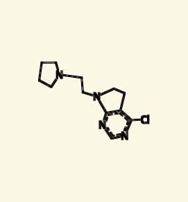 Clc1ncnc2c1CCN2CCN1CCCC1